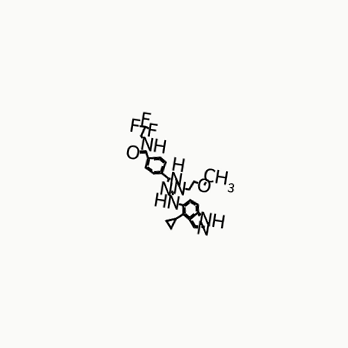 COCCN1NC(c2ccc(C(=O)NCC(F)(F)F)cc2)N=C1Nc1ccc2[nH]ncc2c1C1CC1